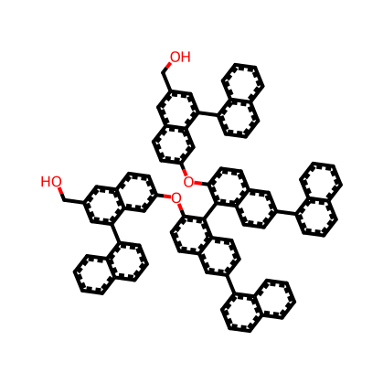 OCc1cc(-c2cccc3ccccc23)c2cc(Oc3ccc4cc(-c5cccc6ccccc56)ccc4c3-c3c(Oc4ccc5cc(CO)cc(-c6cccc7ccccc67)c5c4)ccc4cc(-c5cccc6ccccc56)ccc34)ccc2c1